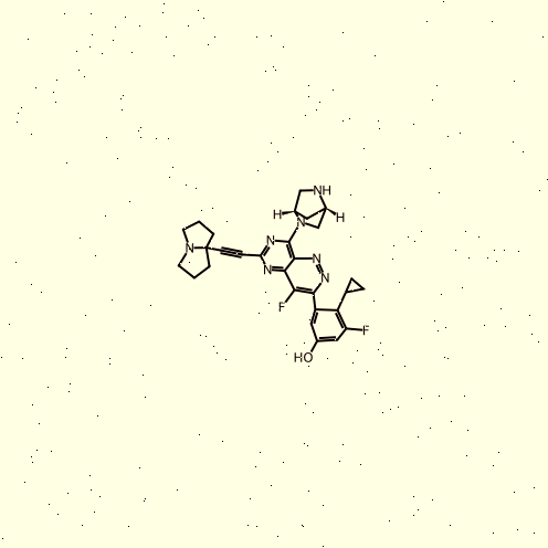 Oc1cc(F)c(C2CC2)c(-c2nnc3c(N4C[C@@H]5C[C@H]4CN5)nc(C#CC45CCCN4CCC5)nc3c2F)c1